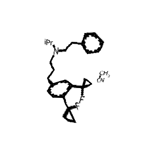 CC#N.CC(C)N(CCCc1ccc(C2(F)CC2)c(C2(F)CC2)c1)CCc1ccccc1